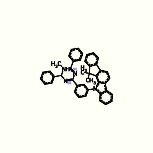 CNC(/N=C(\N=C\c1ccccc1)c1cccc(-n2c3ccccc3c3ccc4c(c32)C(C)(C)c2ccccc2-4)c1)c1ccccc1